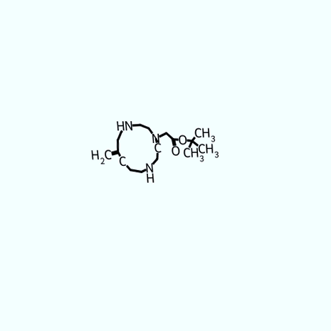 C=C1CCCNCCN(CC(=O)OC(C)(C)C)CCNCC1